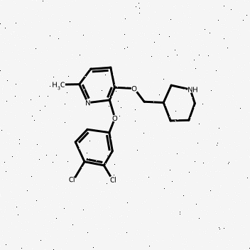 Cc1ccc(OCC2CCCNC2)c(Oc2ccc(Cl)c(Cl)c2)n1